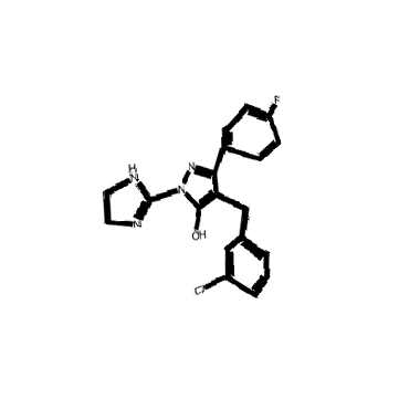 Oc1c(Cc2cccc(Cl)c2)c(-c2ccc(F)cc2)nn1C1=NCCN1